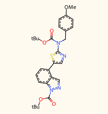 COc1ccc(CN(C(=O)OC(C)(C)C)c2ncc(-c3cccc4c3cnn4C(=O)OC(C)(C)C)s2)cc1